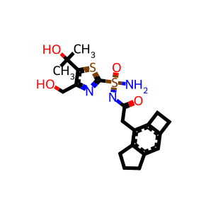 CC(C)(O)c1sc(S(N)(=O)=NC(=O)Cc2c3c(cc4c2CC4)CCC3)nc1CO